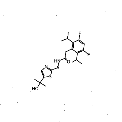 CC(C)c1c(F)cc(F)c(C(C)C)c1CC(=O)NSc1ncc(C(C)(C)O)s1